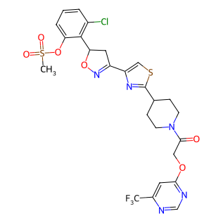 CS(=O)(=O)Oc1cccc(Cl)c1C1CC(c2csc(C3CCN(C(=O)COc4cc(C(F)(F)F)ncn4)CC3)n2)=NO1